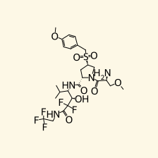 COC[C@H](N)C(=O)N1C[C@H](S(=O)(=O)Cc2ccc(OC)cc2)C[C@H]1C(=O)N[C@@H](C(C)C)[C@@H](O)C(F)(F)C(=O)NCC(F)(F)F